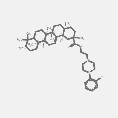 CC1(C(=O)NCCN2CCN(c3ccccc3Cl)CC2)CC[C@]2(C)CC[C@]3(C)C(=CC[C@@H]4[C@@]5(C)CC[C@H](O)C(C)(C)C5CC[C@]43C)[C@@H]2C1